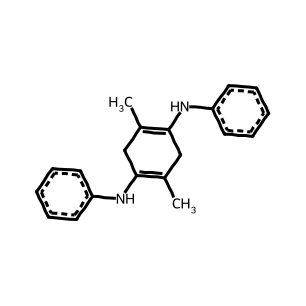 CC1=C(Nc2ccccc2)CC(C)=C(Nc2ccccc2)C1